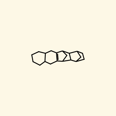 C1CCC2CC3=C(CC2C1)C1CC3C2C3CCC(C3)C12